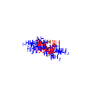 CC(C)(S)[C@H](NC(=O)[C@@H](N)Cc1ccc(O)cc1)C(=O)N[C@@H](CC(N)=O)C(=O)N[C@@H](CCCNC(=N)N)C(=O)N[C@@H](CCN)C(=O)N[C@@H](CO)C(=O)N[C@H](CCN)C(=O)N[C@@H](CCCCN)C(=O)N[C@@H](CS)C(=O)N[C@@H](CCN)C(=O)N[C@@H](CCCNC(=N)N)C(=O)N[C@@H](Cc1ccc(O)cc1)C(=O)O